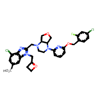 O=C(O)c1cc(Cl)c2nc(CN3CCN(c4cccc(OCc5ccc(Cl)cc5F)n4)C4COCC43)n(CC3CCO3)c2c1